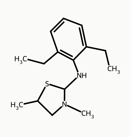 CCc1cccc(CC)c1NC1SC(C)CN1C